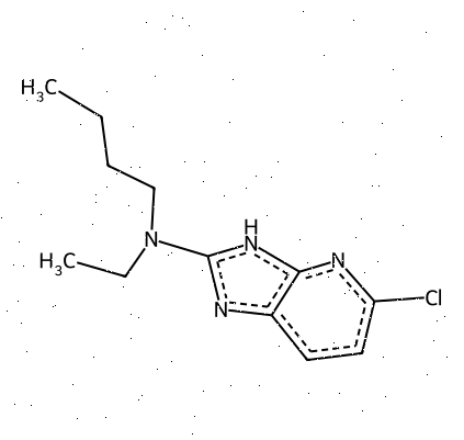 CCCCN(CC)c1nc2ccc(Cl)nc2[nH]1